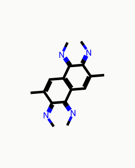 C/N=c1/c(C)cc2c(=N/C)/c(=N\C)c(C)cc=2/c1=N/C